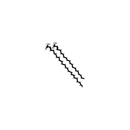 CCCCCCCCCCCCCCCCC/C=C/C(=O)O.CCCCCCCCCCCCCCCCCCCCC/C=C/C(=O)O